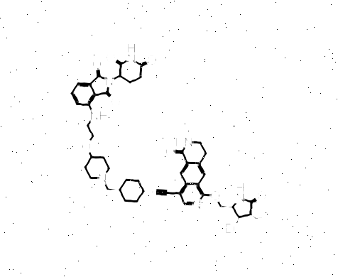 CC[C@@H]1[C@H](F)C(=O)N[C@@H]1COc1ncc(C#C[C@H]2CC[C@H](CN3CCC(OCCNc4cccc5c4C(=O)N(C4CCC(=O)NC4=O)C5=O)CC3)CC2)c2cc3c(cc12)CCNC3=O